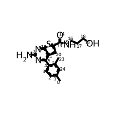 Cc1ccc(-c2nc(N)nc3sc(C(=O)NCCCO)cc23)c(C)c1